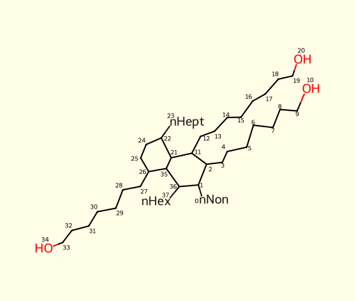 CCCCCCCCCC1C(CCCCCCCO)C(CCCCCCCCO)C2C(CCCCCCC)CCC(CCCCCCCO)C2C1CCCCCC